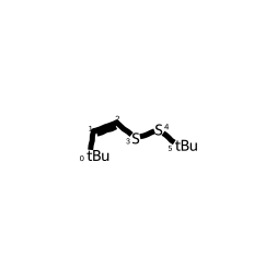 CC(C)(C)/C=C\SSC(C)(C)C